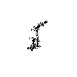 O=CCNC(=O)CNC(=O)CCC(NC(=O)COCCOCCNC(=O)CCC(NC(=O)C(CS(=O)(=O)O)NC(=O)CCCC(=O)O)C(=O)O)C(=O)O